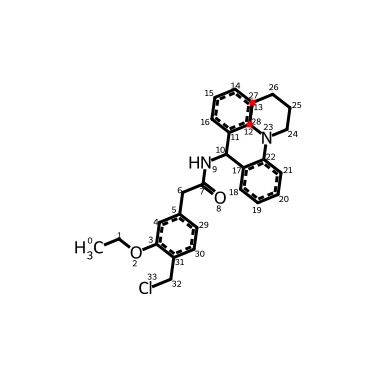 CCOc1cc(CC(=O)NC(c2ccccc2)c2ccccc2N2CCCCC2)ccc1CCl